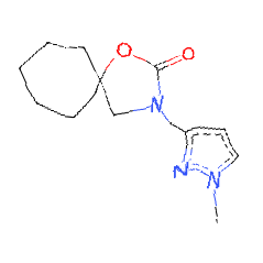 Cn1ccc(N2CC3(CCCCC3)OC2=O)n1